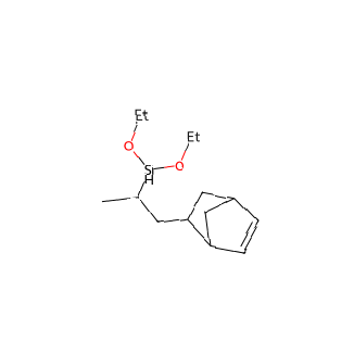 CCO[SiH](OCC)C(C)CC1CC2C=CC1C2